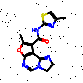 Cc1csc(NC(=O)c2c(C)oc3c2C2=NCCN2C=N3)n1